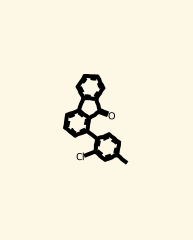 Cc1ccc(-c2cccc3c2C(=O)c2ccccc2-3)c(Cl)c1